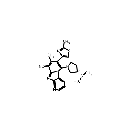 Cc1nc(-c2c(C)c(C#N)c3nc4ncccc4n3c2N2CC[C@H](N(C)C)C2)cs1